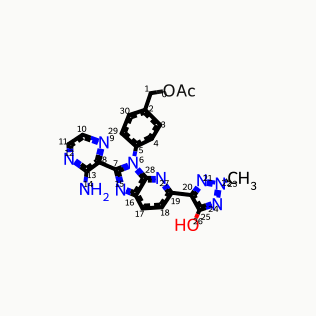 CC(=O)OCc1ccc(-n2c(-c3nccnc3N)nc3ccc(-c4nn(C)nc4O)nc32)cc1